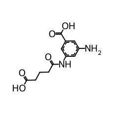 Nc1cc(NC(=O)CCCC(=O)O)cc(C(=O)O)c1